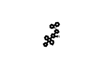 N#Cc1cc(-c2c3ccccc3c(-c3ccccc3)c3ccccc23)ccc1-c1cccc(-n2c3ccccc3c3ccccc32)c1